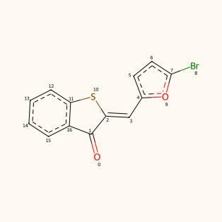 O=C1C(=Cc2ccc(Br)o2)Sc2ccccc21